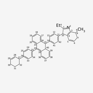 CCC1=NC2=C(C=CCC2C)C1c1ccc(C2c3ccccc3C(c3ccc(C4C=CCCC4)cc3)=C3C=CC=CC32)cc1